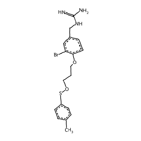 Cc1ccc(SOCCCOc2ccc(CNC(=N)N)cc2Br)cc1